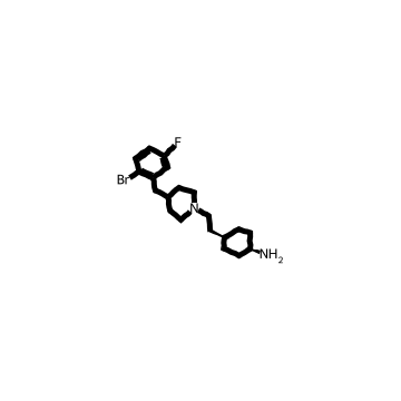 N[C@H]1CC[C@@H](CCN2CCC(Cc3cc(F)ccc3Br)CC2)CC1